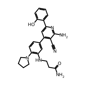 N#Cc1c(-c2ccc(N3CCCC3)c(NCCC(N)=O)c2)cc(-c2ccccc2O)nc1N